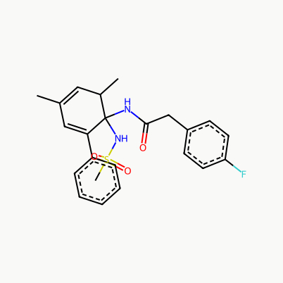 CC1=CC(C)C(NC(=O)Cc2ccc(F)cc2)(NS(C)(=O)=O)C(c2ccccc2)=C1